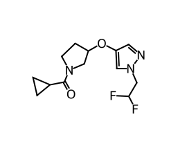 O=C(C1CC1)N1CCC(Oc2cnn(CC(F)F)c2)C1